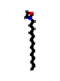 CCCCCCCCCCCCCCN1CCO1